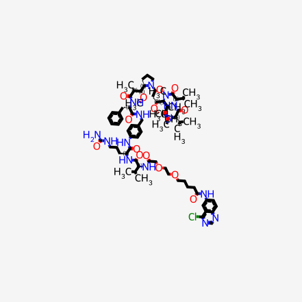 CC[C@H](C)[C@@H]([C@@H](CC(=O)N1CCC[C@H]1[C@H](OC)[C@@H](C)C(=O)N[C@@H](Cc1ccccc1)C(=O)NCc1ccc(NC(=O)[C@H](CCCNC(N)=O)NC(=O)[C@@H](NC(=O)COCCOCCCCC(=O)Nc2ccc3ncnc(Cl)c3c2)C(C)C)cc1)OC)N(C)C(=O)[C@@H](NC(=O)[C@H](C(C)C)N(C)C)C(C)C